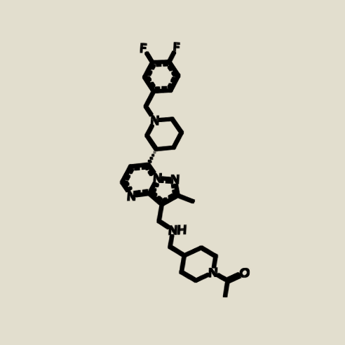 CC(=O)N1CCC(CNCc2c(C)nn3c([C@H]4CCCN(Cc5ccc(F)c(F)c5)C4)ccnc23)CC1